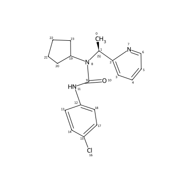 C[C@@H](c1ccccn1)N(C(=O)Nc1ccc(Cl)cc1)C1CCCC1